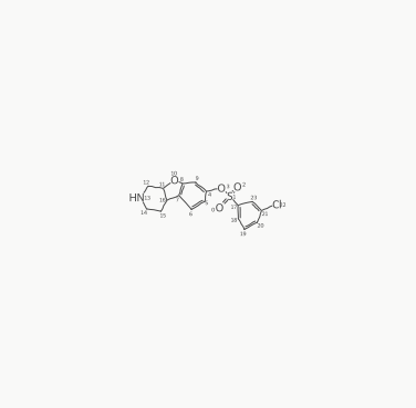 O=S(=O)(Oc1ccc2c(c1)OC1CNCCC21)c1cccc(Cl)c1